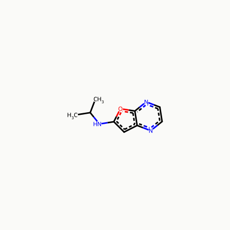 CC(C)Nc1cc2nccnc2o1